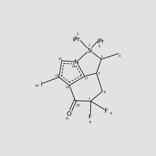 CC(C)[Si]1(C(C)C)C(C)C2CC(F)(F)C(=O)c3c(I)cn1c32